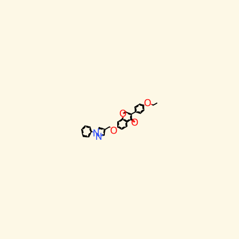 CCOc1ccc(-c2coc3cc(OCc4cnn(-c5ccccc5)c4)ccc3c2=O)cc1